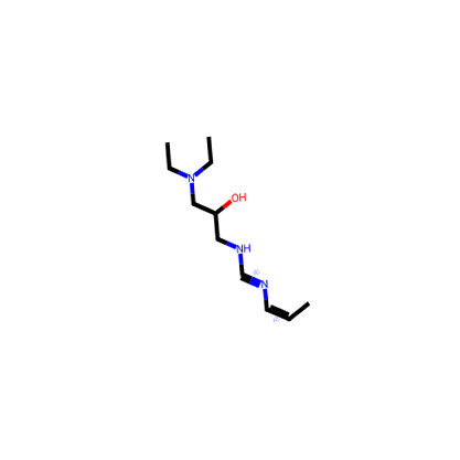 C/C=C\N=C\NCC(O)CN(CC)CC